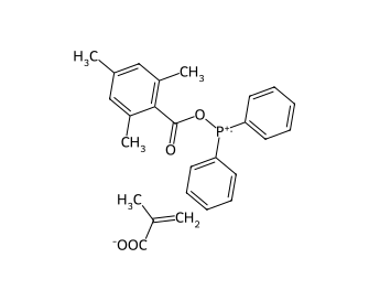 C=C(C)C(=O)[O-].Cc1cc(C)c(C(=O)O[P+](c2ccccc2)c2ccccc2)c(C)c1